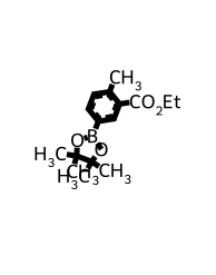 CCOC(=O)c1cc(B2OC(C)(C)C(C)(C)O2)ccc1C